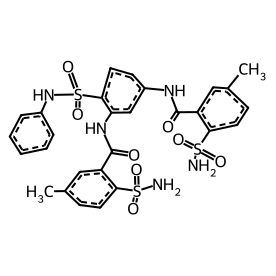 Cc1ccc(S(N)(=O)=O)c(C(=O)Nc2ccc(S(=O)(=O)Nc3ccccc3)c(NC(=O)c3cc(C)ccc3S(N)(=O)=O)c2)c1